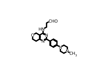 CN1CCN(c2ccc(-c3nc4c(c(NCCC=O)n3)COCC4)cc2)CC1